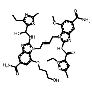 CCc1nc(C)sc1C(O)Nc1nc2cc(C(N)=O)cc(OCCCO)c2n1C/C=C/Cn1c(NC(=O)c2cc(C)nn2CC)nc2cc(C(N)=O)cc(OC)c21